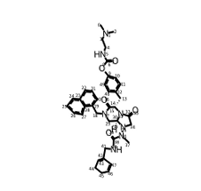 CN(C)CCNC(=O)Oc1ccc(C[C@H]2C(=O)N(Cc3cccc4ccccc34)C[C@H]3N2C(=O)CN3N(C)C(=O)NCC2=CCCC=C2)cc1